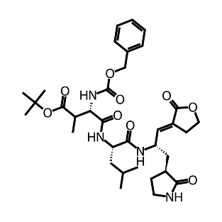 CC(C)C[C@H](NC(=O)[C@@H](NC(=O)OCc1ccccc1)C(C)C(=O)OC(C)(C)C)C(=O)N[C@H](/C=C1\CCOC1=O)C[C@@H]1CCNC1=O